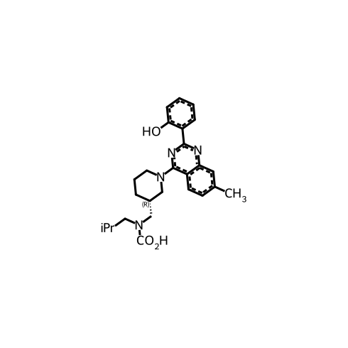 Cc1ccc2c(N3CCC[C@@H](CN(CC(C)C)C(=O)O)C3)nc(-c3ccccc3O)nc2c1